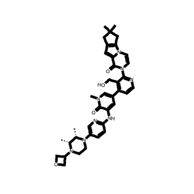 C[C@@H]1[C@H](C)N(c2ccc(Nc3cc(-c4ccnc(-n5ccn6c7c(cc6c5=O)CC(C)(C)C7)c4CO)cn(C)c3=O)nc2)CCN1C1COC1